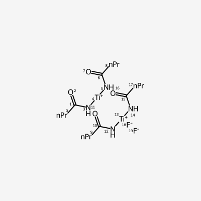 CCCC(=O)[NH][Ti+][NH]C(=O)CCC.CCCC(=O)[NH][Ti+][NH]C(=O)CCC.[F-].[F-]